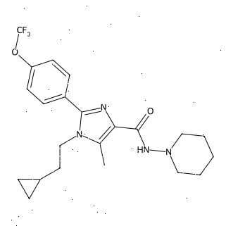 Cc1c(C(=O)NN2CCCCC2)nc(-c2ccc(OC(F)(F)F)cc2)n1CCC1CC1